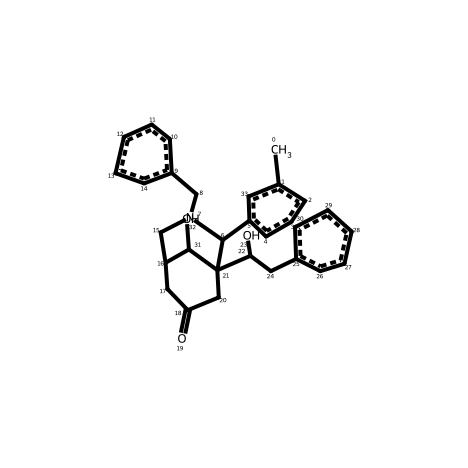 Cc1cccc(C2N(Cc3ccccc3)CC3CC(=O)CC2(C(O)Cc2ccccc2)C3O)c1